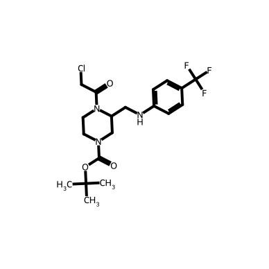 CC(C)(C)OC(=O)N1CCN(C(=O)CCl)C(CNc2ccc(C(F)(F)F)cc2)C1